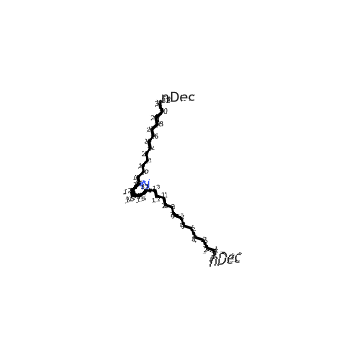 CCCCCCCCCCCCCCCCCCCCCCCc1c[c]cc(CCCCCCCCCCCCCCCCCCCCCCC)n1